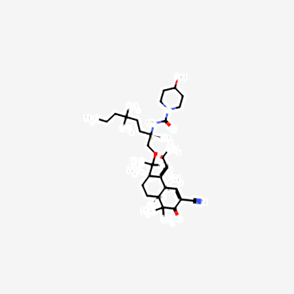 CCCC(C)(C)CC[C@@](C)(CCC(C)(C)[C@]1(C)CC[C@H]2C(C)(C)C(=O)C(C#N)=C[C@]2(C)/C1=C/C(C)=O)NC(=O)N1CCC(O)CC1